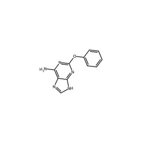 Nc1nc(Oc2ccccc2)nc2[nH]cnc12